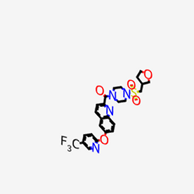 O=C(c1ccc2cc(Oc3ccc(C(F)(F)F)cn3)ccc2n1)N1CCN(S(=O)(=O)CC2CCOC2)CC1